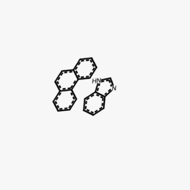 c1ccc2[nH]cnc2c1.c1ccc2c(c1)ccc1ccccc12